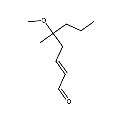 CCCC(C)(CC=CC=O)OC